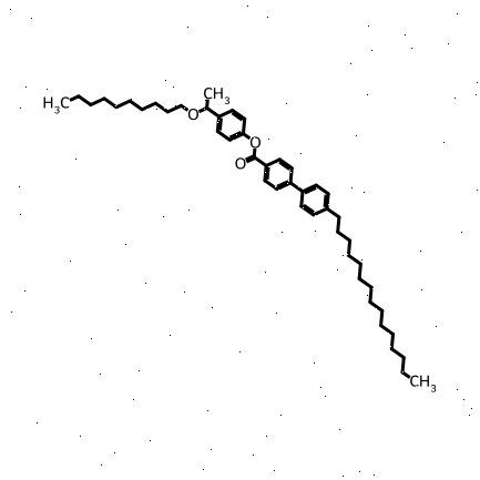 CCCCCCCCCCCCCCCc1ccc(-c2ccc(C(=O)Oc3ccc(C(C)OCCCCCCCCCC)cc3)cc2)cc1